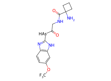 NC1(C(=O)NCC(=O)[AsH]c2nc3ccc(OC(F)(F)F)cc3[nH]2)CCC1